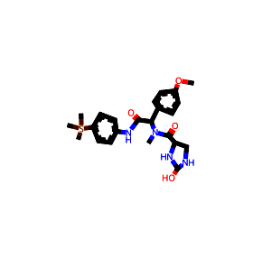 COc1ccc(C(C(=O)Nc2ccc(S(C)(C)C)cc2)N(C)C(=O)C2CNC(O)N2)cc1